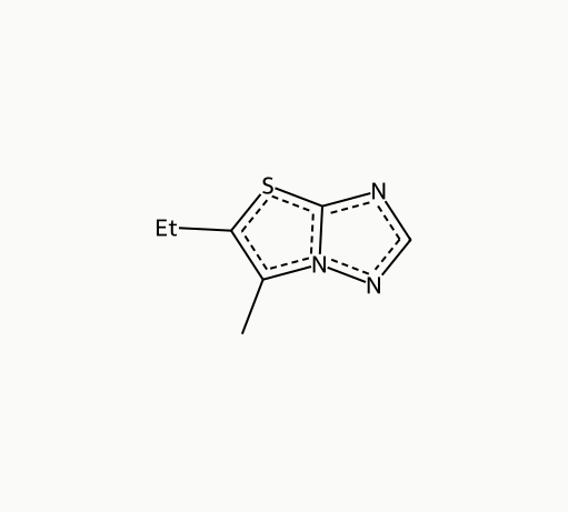 CCc1sc2ncnn2c1C